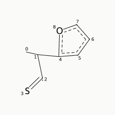 CC([C]=S)c1ccco1